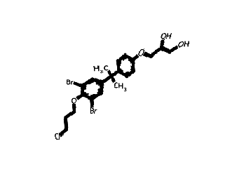 CC(C)(c1ccc(OCC(O)CO)cc1)c1cc(Br)c(OCCCCl)c(Br)c1